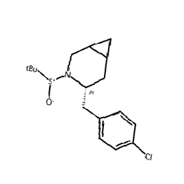 CC(C)(C)[S+]([O-])N1CC2CC2C[C@@H]1Cc1ccc(Cl)cc1